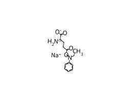 CCN(OC(=O)CC[C@H](N)C(=O)[O-])c1ccccc1.[Na+]